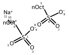 CCCCCCCCS(=O)(=O)[O-].CCCCCCCCS(=O)(=O)[O-].[Na+].[Na+]